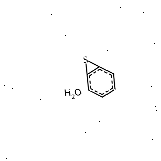 O.c1ccc2c(c1)S2